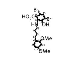 COc1ccc(CCCCNc2c(O)c(Br)cc(Br)c2C(=O)O)c(OC)c1